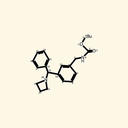 CC(C)(C)OC(=O)NCc1cccc(C(c2ccccc2)N2CCC2)c1